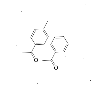 CC(=O)c1ccc(C)cc1.CC(=O)c1ccccc1